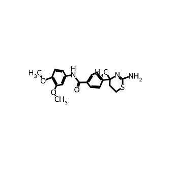 COc1ccc(NC(=O)c2ccc(C3(C)CCSC(N)=N3)cc2)cc1OC